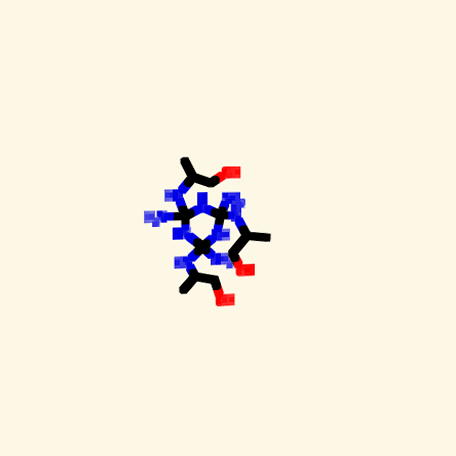 CC(CO)NC1(N)NC(N)(NC(C)CO)NC(N)(NC(C)CO)N1